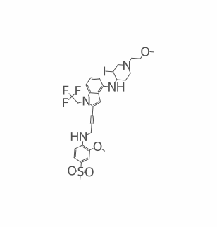 COCCN1CCC(Nc2cccc3c2cc(C#CCNc2ccc(S(C)(=O)=O)cc2OC)n3CC(F)(F)F)C(I)C1